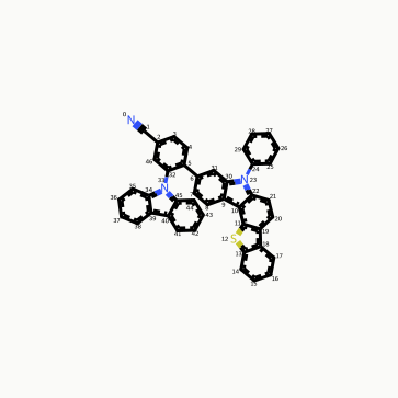 N#Cc1ccc(-c2ccc3c4c5sc6ccccc6c5ccc4n(-c4ccccc4)c3c2)c(-n2c3ccccc3c3ccccc32)c1